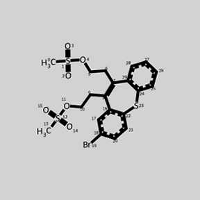 CS(=O)(=O)OCCC1=C(CCOS(C)(=O)=O)c2cc(Br)ccc2Sc2ccccc21